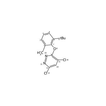 Cc1cccc(C(C)(C)C)c1Oc1nnc(Cl)cc1Cl